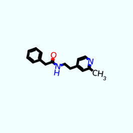 Cc1cc(CCNC(=O)Cc2ccccc2)ccn1